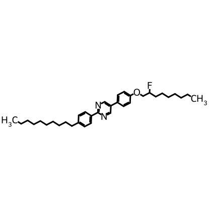 CCCCCCCCCCc1ccc(-c2ncc(-c3ccc(OCC(F)CCCCCCC)cc3)cn2)cc1